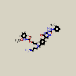 Cc1ccccc1NC(=O)Nc1nc(=O)c(-c2ccc(CN(CCCN)CCCOC(=O)Nc3ccccc3OC(F)(F)F)cc2)c[nH]1